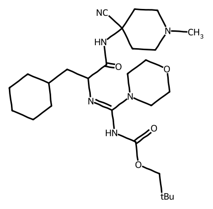 CN1CCC(C#N)(NC(=O)C(CC2CCCCC2)/N=C(/NC(=O)OCC(C)(C)C)N2CCOCC2)CC1